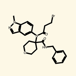 Cn1ncc2cc(N(C(=O)CCBr)C3(C(=O)NCc4ccccc4)CCOCC3)ccc21